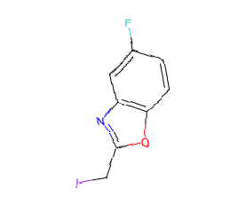 Fc1ccc2oc(CI)nc2c1